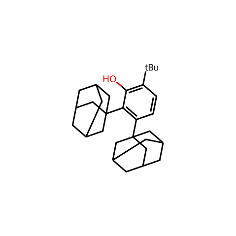 CC(C)(C)c1ccc(C23CC4CC(CC(C4)C2)C3)c(C23CC4CC(CC(C4)C2)C3)c1O